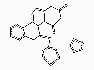 O=C1CC(=O)C2C(=CC=C3c4ccccc4CC(=Cc4ccccc4)C32)C1.c1cscn1